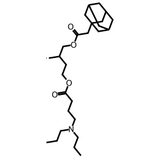 [CH2]C(CCOC(=O)CCCN(CCC)CCC)COC(=O)CC12CC3CC(CC(C3)C1)C2